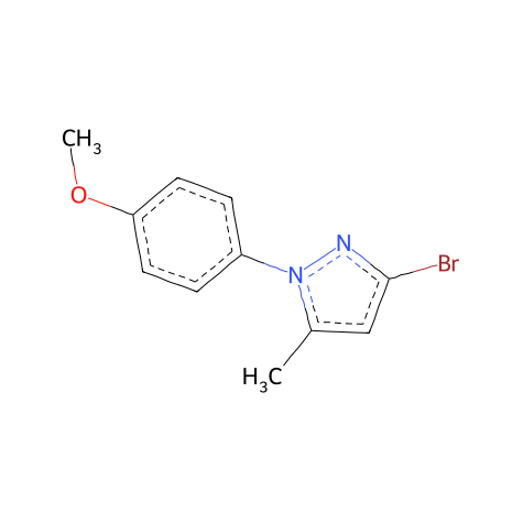 COc1ccc(-n2nc(Br)cc2C)cc1